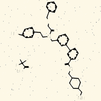 NCC1CCC(CNC(=O)c2cccc(-c3cccc(CN(CCc4ccc(O)cc4)C(=O)COCc4ccccc4)c3)c2)CC1.O=C(O)C(F)(F)F